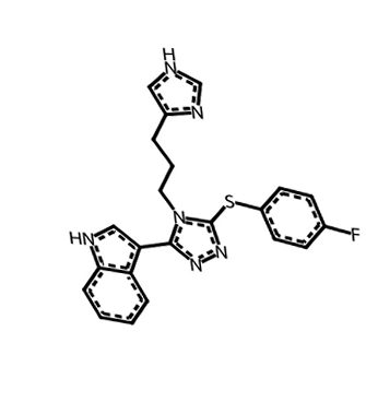 Fc1ccc(Sc2nnc(-c3c[nH]c4ccccc34)n2CCCc2c[nH]cn2)cc1